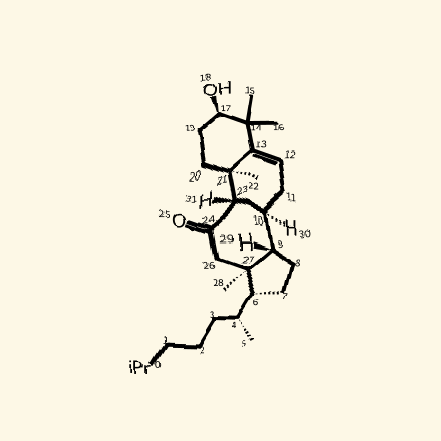 CC(C)CCC[C@@H](C)[C@H]1CC[C@H]2[C@@H]3CC=C4C(C)(C)[C@H](O)CC[C@]4(C)[C@H]3C(=O)C[C@]12C